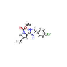 CC1=CC(c2ncc(-c3ccc(Br)cc3)[nH]2)N(C(=O)OC(C)(C)C)C1